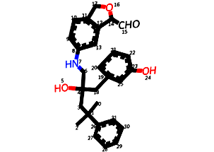 CC(C)(CC(O)(CNc1ccc2c(c1)C(C=O)OC2)Cc1cccc(O)c1)c1ccccc1